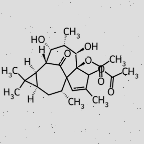 CC(=O)OC1C(C)=CC23C(=O)[C@@H]([C@H](O)[C@H](C)[C@@H](O)[C@]12OC(C)=O)[C@H]1[C@@H](C[C@H]3C)C1(C)C